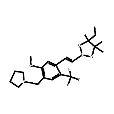 CCC1(C)OB(/C=C/c2cc(OC)c(CN3CCCC3)cc2C(F)(F)F)OC1(C)C